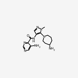 Cn1ncc(NC(=O)c2ncncc2N)c1N1CCC[C@@H](N)CC1